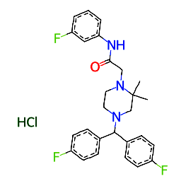 CC1(C)CN(C(c2ccc(F)cc2)c2ccc(F)cc2)CCN1CC(=O)Nc1cccc(F)c1.Cl